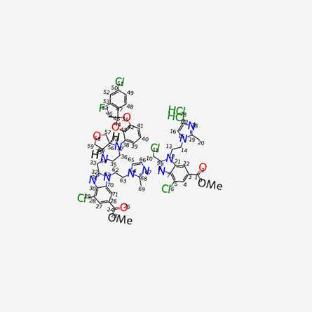 COC(=O)c1cc(Cl)c2nc(CCl)n(CCn3ccnc3C)c2c1.COC(=O)c1cc(Cl)c2nc(CN3CCN(c4cccc5c4O[C@](C)(c4ccc(Cl)cc4F)O5)[C@H]4COC[C@H]43)n(CCn3ccnc3C)c2c1.Cl.Cl